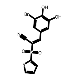 N#C/C(=C\c1cc(O)c(O)c(Br)c1)S(=O)(=O)c1cccs1